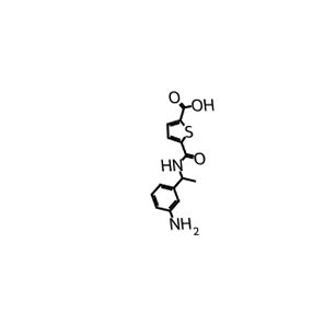 CC(NC(=O)c1ccc(C(=O)O)s1)c1cccc(N)c1